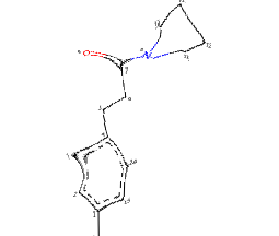 Cc1ccc(CCC(=O)N2CCCC2)cc1